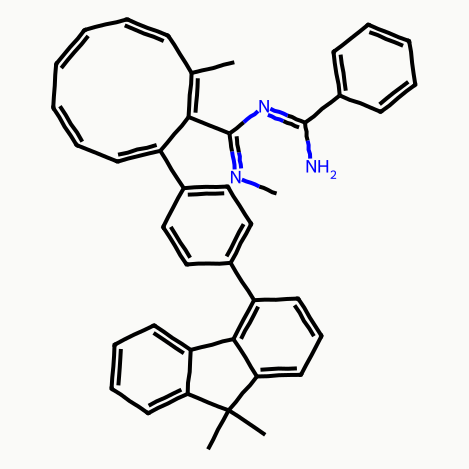 C/N=C(\N=C(/N)c1ccccc1)c1c(C)cccccccc1-c1ccc(-c2cccc3c2-c2ccccc2C3(C)C)cc1